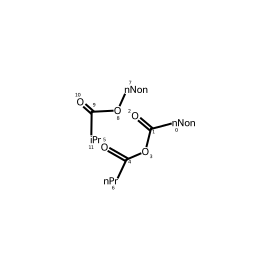 CCCCCCCCCC(=O)OC(=O)CCC.CCCCCCCCCOC(=O)C(C)C